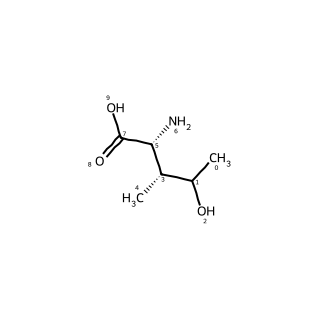 CC(O)[C@H](C)[C@@H](N)C(=O)O